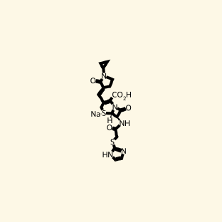 O=C(CSc1ncc[nH]1)N[C@@H]1C(=O)N2C(C(=O)O)=C(C=C3CCN(C4CC4)C3=O)CS[C@H]12.[Na]